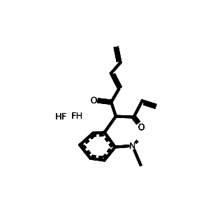 C=CC=CC(=O)C(C(=O)C=C)c1ccccc1N(C)C.F.F